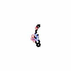 Cc1nc(N2CCc3ccccc3CC2)c([N+](=O)[O-])c(=O)n1CCCCO[Si](C)(C)C(C)(C)C